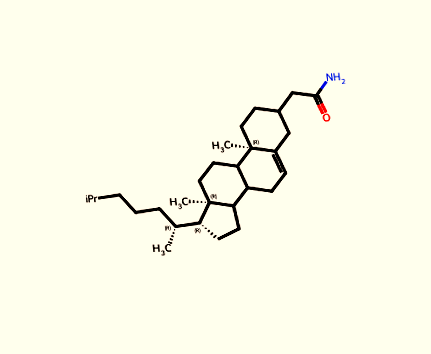 CC(C)CCC[C@@H](C)[C@H]1CCC2C3CC=C4CC(CC(N)=O)CC[C@]4(C)C3CC[C@@]21C